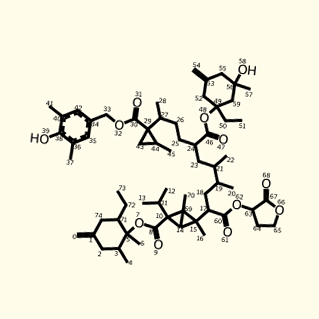 C=C1CC(C)C(C)(OC(=O)C2(C(C)C)C3C(C)(C(CC(C)C(C)CC(CCC(C)C4(C(=O)OCc5cc(C)c(O)c(C)c5)CC4C)C(=O)OC4(CC)CC(=C)CC(C)(O)C4)C(=O)OC4CCOC4=O)C32C)C(CC)C1